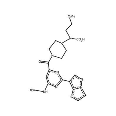 COCCN(C(=O)O)C1CCN(C(=O)c2cc(NC(C)(C)C)nc(-c3cnn4ccsc34)n2)CC1